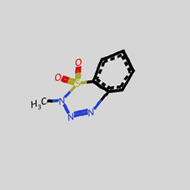 CN1N=Nc2ccccc2S1(=O)=O